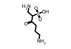 NCCCC(=O)C(CN)S(=O)(=O)O